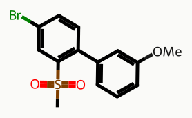 COc1cccc(-c2ccc(Br)cc2S(C)(=O)=O)c1